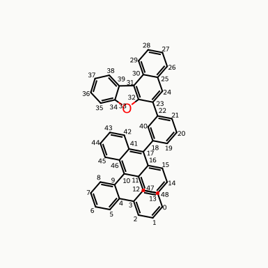 c1ccc(-c2ccccc2-c2c3ccccc3c(-c3cccc(-c4cc5ccccc5c5c4oc4ccccc45)c3)c3ccccc23)cc1